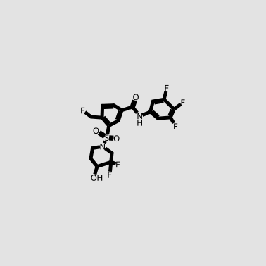 O=C(Nc1cc(F)c(F)c(F)c1)c1ccc(CF)c(S(=O)(=O)N2CCC(O)C(F)(F)C2)c1